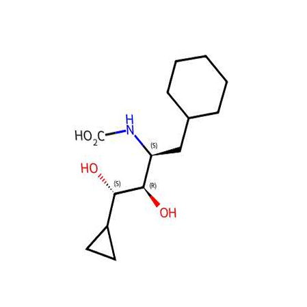 O=C(O)N[C@@H](CC1CCCCC1)[C@@H](O)[C@@H](O)C1CC1